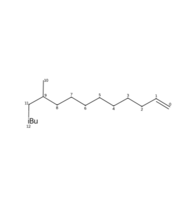 C=CCCCCCCCC(C)CC(C)CC